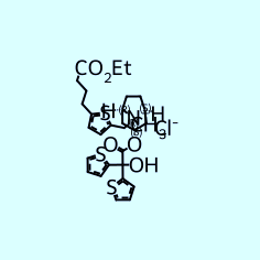 CCOC(=O)CCCc1ccc(C[N@@+]2(C)[C@@H]3CC[C@H]2C[C@H](OC(=O)C(O)(c2cccs2)c2cccs2)C3)s1.[Cl-]